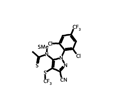 CSN(C(C)=S)c1c(SC(F)(F)F)c(C#N)nn1-c1c(Cl)cc(C(F)(F)F)cc1Cl